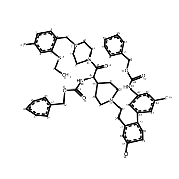 CCSc1cc(F)ccc1CN1CCN(C(=O)[C@H](NC(=O)OCc2ccccc2)C2CCN(CCc3cc(Cl)ccc3-c3cc(F)cc(NC(=O)OCc4ccccc4)c3)CC2)CC1